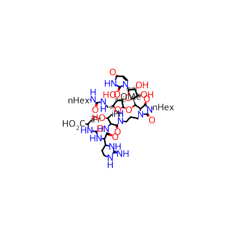 CCCCCCNC(=O)NC[C@H]1OC(OC(C2C(=O)N(CCCCCC)C(=O)N2CCCNC(=O)C(NC(=O)C(NC(=O)NC(C(=O)O)C(C)C)C2CCNC(=N)N2)C(O)C(C)C)[C@H]2O[C@@H](n3ccc(=O)[nH]c3=O)[C@H](O)[C@H]2O)[C@@H](OC)[C@H]1O